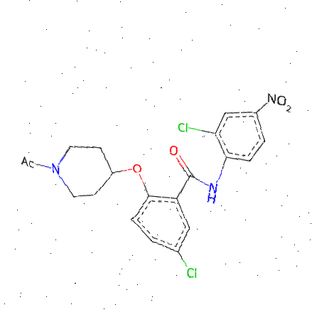 CC(=O)N1CCC(Oc2ccc(Cl)cc2C(=O)Nc2ccc([N+](=O)[O-])cc2Cl)CC1